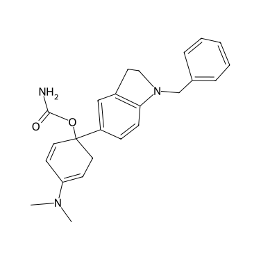 CN(C)C1=CCC(OC(N)=O)(c2ccc3c(c2)CCN3Cc2ccccc2)C=C1